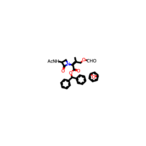 CC(=O)NC1CN(C(C(=O)OC(c2ccccc2)c2ccccc2)=C(C)COC=O)C1=O.c1cc2cc(c1)O2